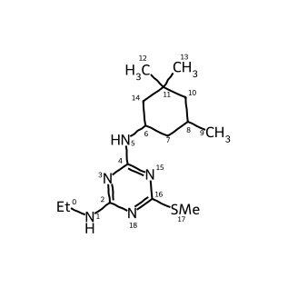 CCNc1nc(NC2CC(C)CC(C)(C)C2)nc(SC)n1